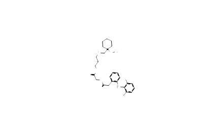 CN(CCCOC(=O)COC(=O)Cc1ccccc1Nc1c(Cl)cccc1Cl)CC1(SN=O)CCCCC1